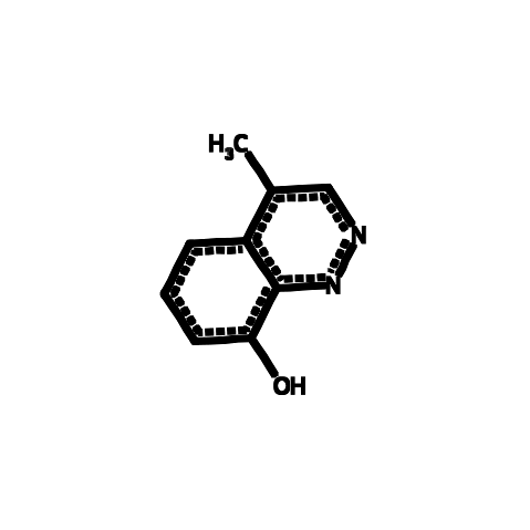 Cc1cnnc2c(O)cccc12